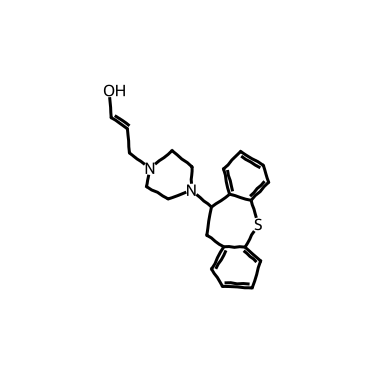 OC=CCN1CCN(C2Cc3ccccc3Sc3ccccc32)CC1